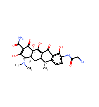 C[C@H]1c2ccc(NC(=O)CN)c(O)c2C(=O)C2=C(O)[C@]3(O)C(=O)C(C(N)=O)=C(O)[C@@H](N(C)C)[C@@H]3CC21